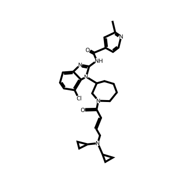 Cc1cc(C(=O)Nc2nc3cccc(Cl)c3n2C2CCCCN(C(=O)C=CCN(C3CC3)C3CC3)C2)ccn1